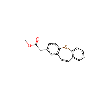 COC(=O)Cc1ccc2c(c1)C=Cc1ccccc1S2